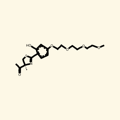 COCCOCCOCCOc1ccc(C2=N[C@@](C)(C(C)=O)CS2)c(O)c1